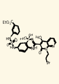 CCOC(=O)c1cccc(NS(=O)(=O)Nc2ccc3c(c2)S(O)(O)N=C(c2c(O)c4cccnc4n(CCC(C)C)c2=O)N3)c1